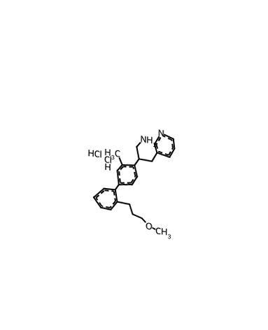 COCCCc1ccccc1-c1ccc(C(CN)Cc2cccnc2)c(C)c1.Cl.Cl